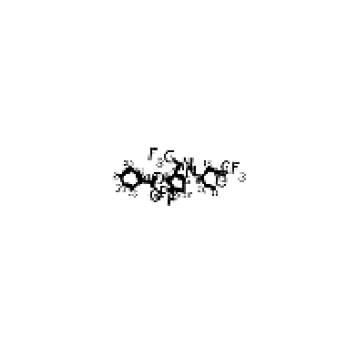 O=C(O[C@H]1c2c(C(F)(F)F)nn([C@@H]3CCO[C@@H](C(F)(F)F)C3)c2CC1(F)F)c1ccccc1